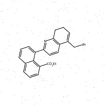 CCOC(=O)c1cccc2cccc(-c3ccc4c(n3)CCC=C4CC(C)C)c12